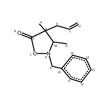 C=CCC1(C)C(=O)ON(Cc2ccccc2)C1C